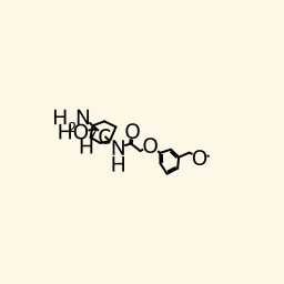 COCc1cccc(OCC(=O)NC23CCC(N)(CC2)[C@@H](O)C3)c1